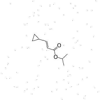 CC(C)OC(=O)C=CC1CC1